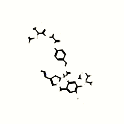 C/C=C/C1=CN(C(=O)c2cc(OC)c(O[Si](C(C)C)(C(C)C)C(C)C)cc2NC(=O)OCc2ccc(NC(=O)C(C)NC(=O)C(NC(=O)O)C(C)C)cc2)[C@H](CO)C1